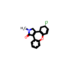 CN1CC2=C(C1=O)c1ccccc1OC1=C2C[C@H](Cl)C=C1